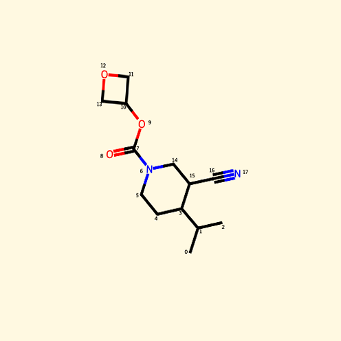 CC(C)C1CCN(C(=O)OC2COC2)CC1C#N